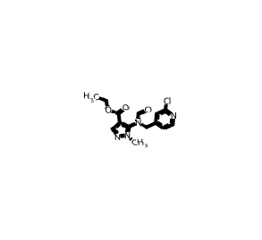 CCOC(=O)c1cnn(C)c1N(C=O)Cc1ccnc(Cl)c1